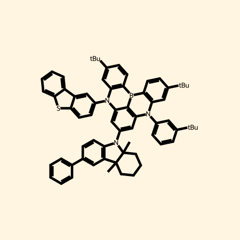 CC(C)(C)c1cccc(N2c3cc(C(C)(C)C)ccc3B3c4ccc(C(C)(C)C)cc4N(c4ccc5sc6ccccc6c5c4)c4cc(N5c6ccc(-c7ccccc7)cc6C6(C)CCCCC56C)cc2c43)c1